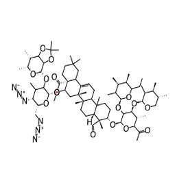 CCC1O[C@@H](OC2[C@H](O[C@H]3CCC4(C)C5CC=C6C7CC(C)(C)CC[C@]7(C(=O)O[C@@H]7O[C@H](CN=[N+]=[N-])[C@H](N=[N+]=[N-])C(C)C7O[C@@H]7O[C@H](C)[C@H](C)C8OC(C)(C)OC87)C(OC)C[C@@]6(C)[C@@]5(C)CC[C@H]4[C@@]3(C)C=O)OC(C(C)=O)[C@@H](C)[C@@H]2O[C@@H]2OC[C@@H](C)[C@H](C)C2C)C(C)[C@@H](C)[C@H]1C